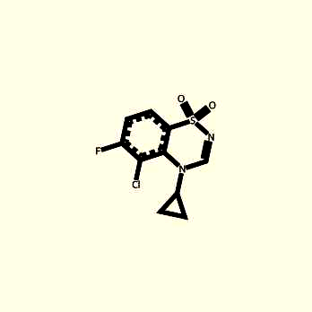 O=S1(=O)N=CN(C2CC2)c2c1ccc(F)c2Cl